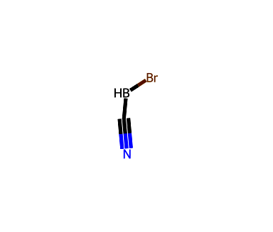 N#CBBr